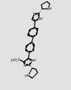 CCOC(=O)c1nc([C@@H]2CCCN2)[nH]c1-c1ccc(-c2ccc(-c3cnc([C@@H]4CCCN4)[nH]3)cc2)cc1